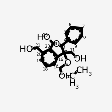 CC.O=C(c1ccccc1)C(CO)(OCO)c1cccc(CO)c1CO